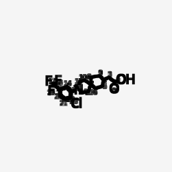 O=C(O)CC1CCC2(CC1)CCN(c1cc(C(F)(F)F)ccc1Cl)CC2